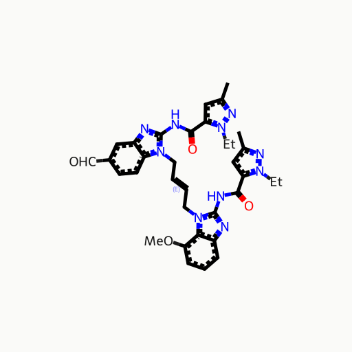 CCn1nc(C)cc1C(=O)Nc1nc2cc(C=O)ccc2n1C/C=C/Cn1c(NC(=O)c2cc(C)nn2CC)nc2cccc(OC)c21